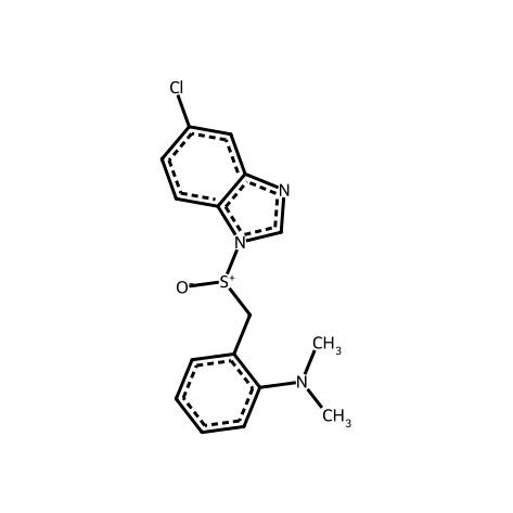 CN(C)c1ccccc1C[S+]([O-])n1cnc2cc(Cl)ccc21